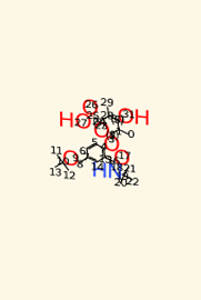 CC1[C@H](Oc2ccc(COC(C)(C)C)cc2C(=O)NC(C)(C)C)O[C@H](C(=O)O)C(C)[C@@H]1O